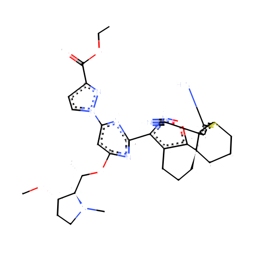 CCOC(=O)c1ccn(-c2cc(O[C@@H](C)[C@@H]3[C@@H](OC)CCN3C)nc(-c3noc4c3CCC[C@@]43CCCc4sc(N)c(C#N)c43)n2)n1